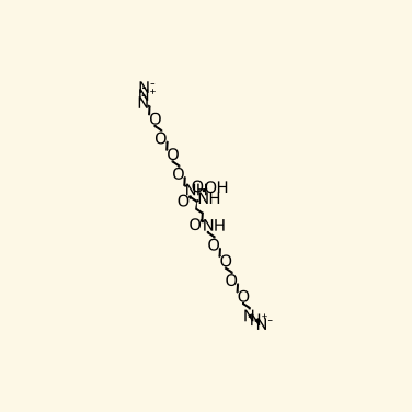 [N-]=[N+]=NCCOCCOCCOCCOCCNC(=O)CC[C@H](NC(=O)O)C(=O)NCCOCCOCCOCCOCCN=[N+]=[N-]